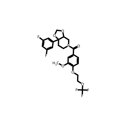 COc1cc(C(=O)N2CCC3(c4cc(F)cc(F)c4)OCOC3C2)ccc1OCCOC(F)(F)F